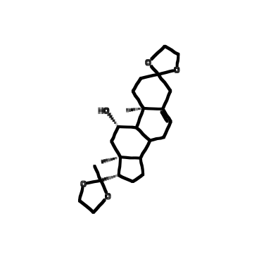 CC1([C@H]2CCC3C4CC=C5CC6(CC[C@]5(C)C4[C@@H](O)C[C@@]32C)OCCO6)OCCO1